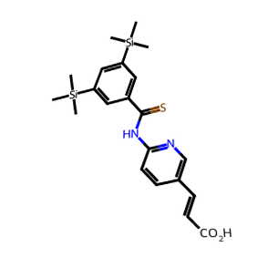 C[Si](C)(C)c1cc(C(=S)Nc2ccc(/C=C/C(=O)O)cn2)cc([Si](C)(C)C)c1